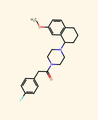 COc1ccc2c(c1)C(N1CCN(C(=O)Cc3ccc(F)cc3)CC1)CCC2